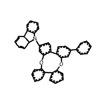 C1=CC2c3ccccc3N(c3ccc4c(c3)Oc3ccccc3-c3ccccc3Oc3cc(-c5ccccc5)ccc3-4)C2C=C1